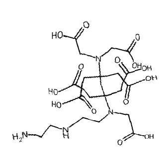 NCCNCCN(CC(=O)O)C(CC(=O)O)(CC(=O)O)C(CC(=O)O)(CC(=O)O)N(CC(=O)O)CC(=O)O